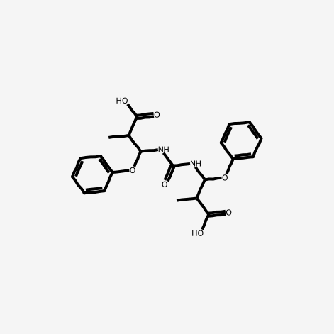 CC(C(=O)O)C(NC(=O)NC(Oc1ccccc1)C(C)C(=O)O)Oc1ccccc1